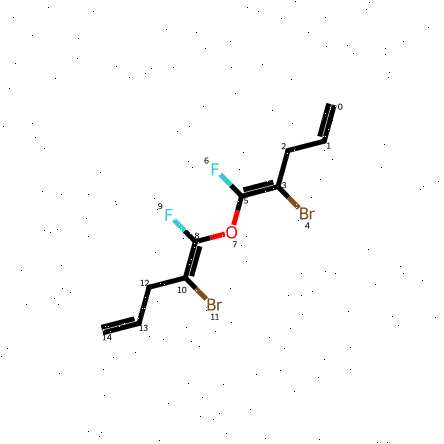 C=CCC(Br)=C(F)OC(F)=C(Br)CC=C